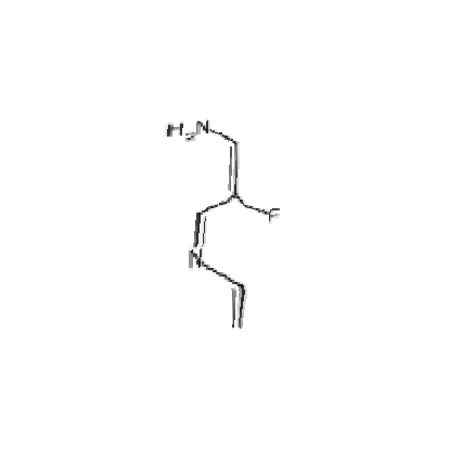 C=C/N=C\C(F)=C/N